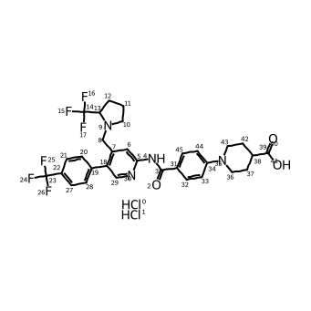 Cl.Cl.O=C(Nc1cc(CN2CCCC2C(F)(F)F)c(-c2ccc(C(F)(F)F)cc2)cn1)c1ccc(N2CCC(C(=O)O)CC2)cc1